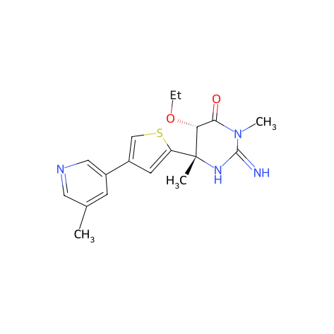 CCO[C@@H]1C(=O)N(C)C(=N)N[C@]1(C)c1cc(-c2cncc(C)c2)cs1